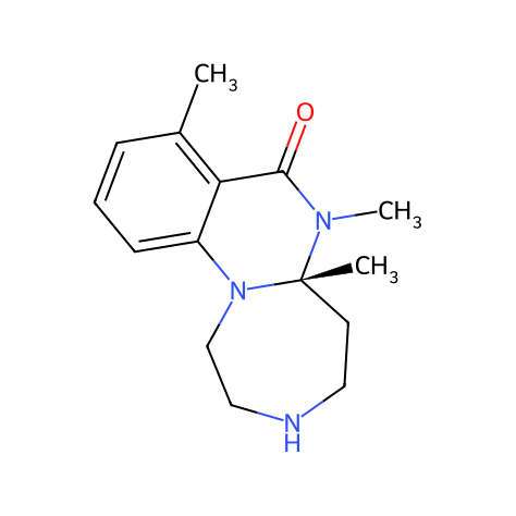 Cc1cccc2c1C(=O)N(C)[C@]1(C)CCNCCN21